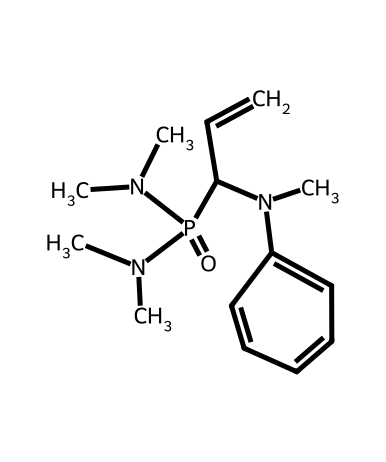 C=CC(N(C)c1ccccc1)P(=O)(N(C)C)N(C)C